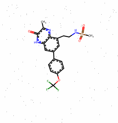 Cc1nc2c(CCNS(C)(=O)=O)cc(-c3ccc(OC(F)(F)F)cc3)cc2[nH]c1=O